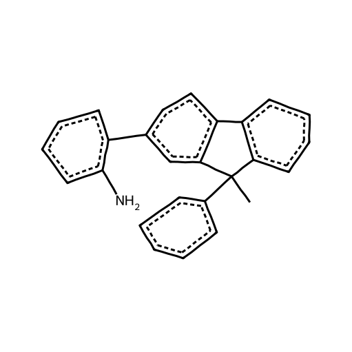 CC1(c2ccccc2)c2ccccc2-c2ccc(-c3ccccc3N)cc21